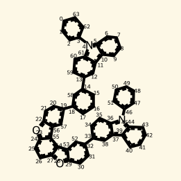 c1ccc(-n2c3ccccc3c3cc(-c4cccc(-c5ccc6oc7ccc8oc9ccc(-c%10ccc%11c(c%10)c%10ccccc%10n%11-c%10ccccc%10)cc9c8c7c6c5)c4)ccc32)cc1